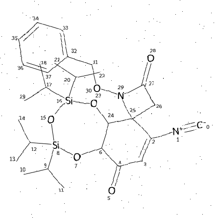 [C-]#[N+]C1=CC(=O)C2O[Si](C(C)C)(C(C)C)O[Si](C(C)C)(C(C)C)OC2C12CC(=O)N2OCc1ccccc1